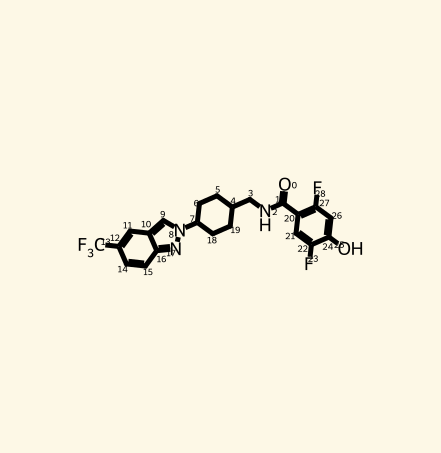 O=C(NCC1CCC(n2cc3cc(C(F)(F)F)ccc3n2)CC1)c1cc(F)c(O)cc1F